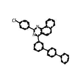 Clc1ccc(-c2nc(-c3cccc(-c4ccc(-c5ccccc5)cc4)c3)c3ccc4ccccc4c3n2)cc1